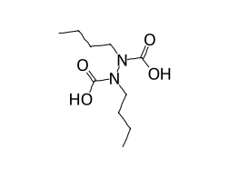 CCCCN(C(=O)O)N(CCCC)C(=O)O